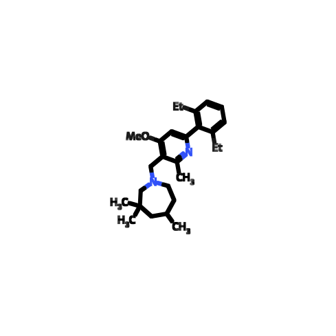 CCc1cccc(CC)c1-c1cc(OC)c(CN2CCC(C)CC(C)(C)C2)c(C)n1